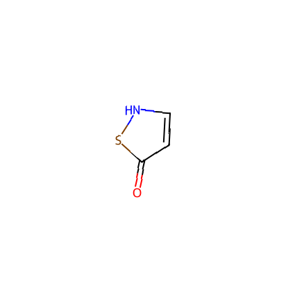 O=c1cc[nH]s1